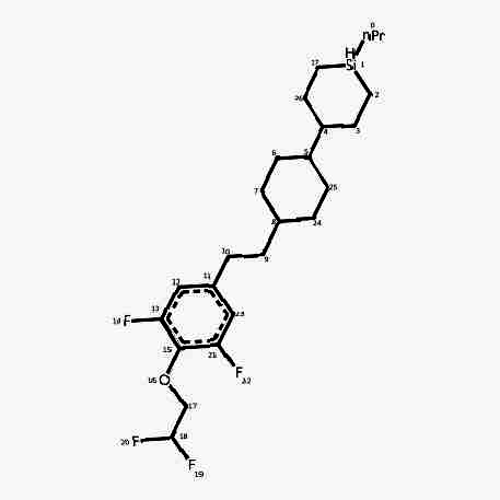 CCC[SiH]1CCC(C2CCC(CCc3cc(F)c(OCC(F)F)c(F)c3)CC2)CC1